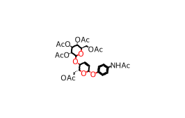 CC(=O)Nc1ccc(O[C@@H]2C=C[C@H](OC3O[C@H](COC(C)=O)[C@@H](OC(C)=O)[C@H](OC(C)=O)[C@H]3OC(C)=O)[C@@H](COC(C)=O)O2)cc1